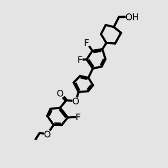 CCOc1ccc(C(=O)Oc2ccc(-c3ccc(C4CCC(CO)CC4)c(F)c3F)cc2)c(F)c1